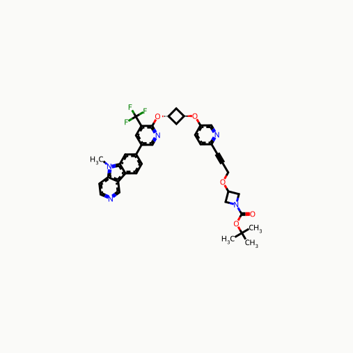 Cn1c2ccncc2c2ccc(-c3cnc(O[C@H]4C[C@H](Oc5ccc(C#CCOC6CN(C(=O)OC(C)(C)C)C6)nc5)C4)c(C(F)(F)F)c3)cc21